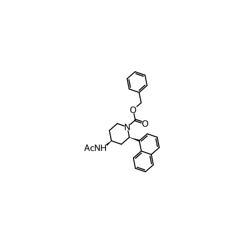 CC(=O)N[C@H]1CCN(C(=O)OCc2ccccc2)[C@@H](c2cccc3ccccc23)C1